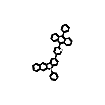 c1ccc(-c2c3ccccc3c(-c3ccc(-c4ccc5c(c4)c4cc6ccccc6cc4n5-c4ccccc4)cn3)c3ccccc23)cc1